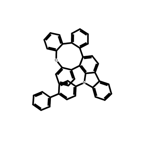 c1ccc(-c2ccc(-n3c4ccccc4c4ccc5c6ccccc6c6ccccc6oc6ccccc6c5c43)cc2)cc1